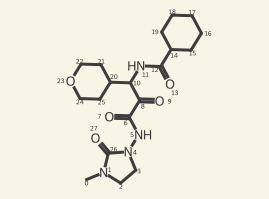 CN1CCN(NC(=O)C(=O)C(NC(=O)C2CCCCC2)C2CCOCC2)C1=O